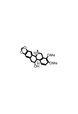 COc1ccc2c(c1OC)CN(C)[C@@H]1c3cc4c(cc3C[C@H](O)[C@H]21)OCO4